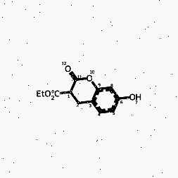 CCOC(=O)C1Cc2ccc(O)cc2OC1=O